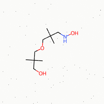 CC(C)(CO)COCC(C)(C)CNO